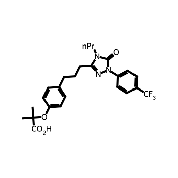 CCCn1c(CCCc2ccc(OC(C)(C)C(=O)O)cc2)nn(-c2ccc(C(F)(F)F)cc2)c1=O